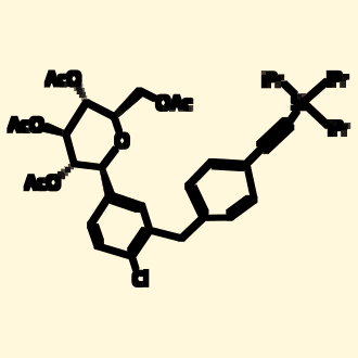 CC(=O)OC[C@H]1O[C@@H](c2ccc(Cl)c(Cc3ccc(C#C[Si](C(C)C)(C(C)C)C(C)C)cc3)c2)[C@H](OC(C)=O)[C@@H](OC(C)=O)[C@@H]1OC(C)=O